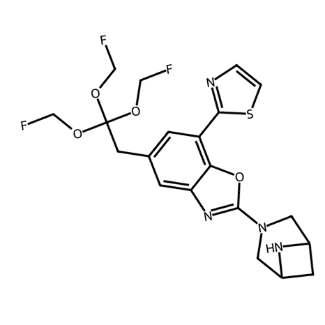 FCOC(Cc1cc(-c2nccs2)c2oc(N3CC4CC(C3)N4)nc2c1)(OCF)OCF